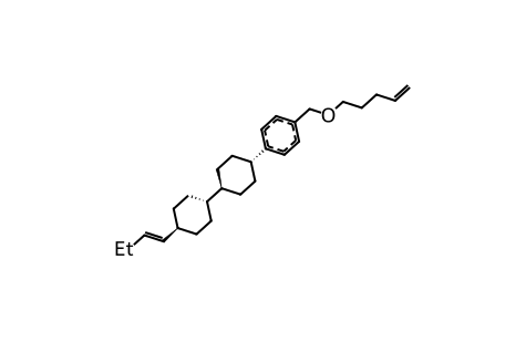 C=CCCCOCc1ccc([C@H]2CC[C@H]([C@H]3CC[C@H](C=CCC)CC3)CC2)cc1